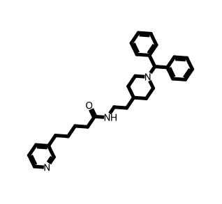 O=C(CCCCc1cccnc1)NCCC1CCN(C(c2ccccc2)c2ccccc2)CC1